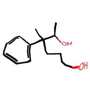 CC(O)C(C)(CCCO)c1ccccc1